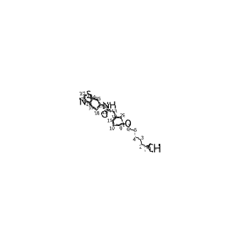 C#CCCCCCOc1cccc(CC(=O)Nc2ccc3ncsc3c2)c1